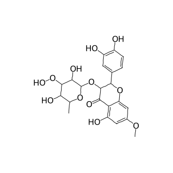 COc1cc(O)c2c(c1)OC(c1ccc(O)c(O)c1)C(OC1OC(C)C(O)C(OO)C1O)C2=O